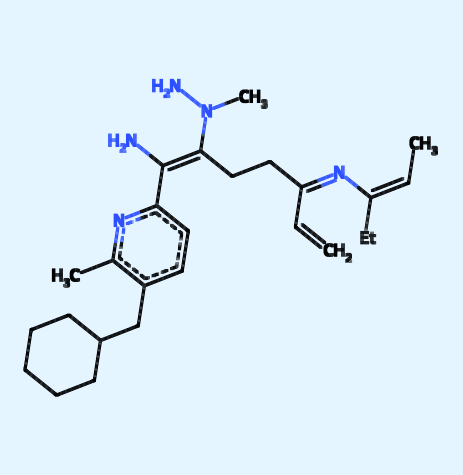 C=C/C(CC/C(=C(/N)c1ccc(CC2CCCCC2)c(C)n1)N(C)N)=N\C(=C/C)CC